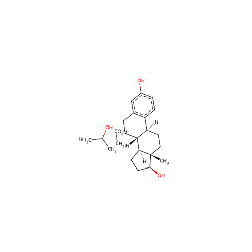 CC(=O)O.CC(O)C(=O)O.C[C@]12CC[C@@H]3c4ccc(O)cc4CC[C@H]3[C@@H]1CC[C@@H]2O